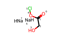 O=C(CO)OCl.[NaH].[NaH]